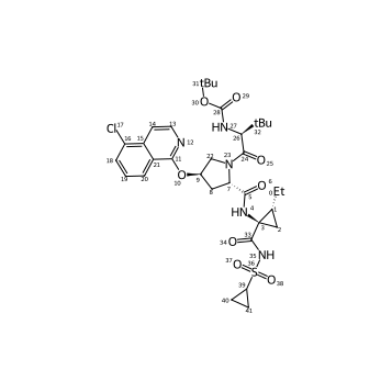 CC[C@@H]1C[C@]1(NC(=O)[C@@H]1C[C@@H](Oc2nccc3c(Cl)cccc23)CN1C(=O)[C@@H](NC(=O)OC(C)(C)C)C(C)(C)C)C(=O)NS(=O)(=O)C1CC1